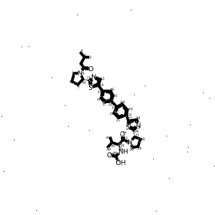 CC(C)CC(=O)N1CCC[C@H]1c1ncc(-c2ccc(-c3ccc(-c4cnc([C@@H]5CCCN5C(=O)[C@H](NC(=O)O)C(C)C)s4)cc3)cc2)s1